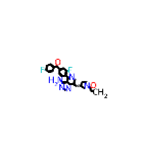 C=CC(=O)N1CC[C@@H](CC2CN=C(c3ccc(C(=O)c4ccc(F)cc4)cc3F)c3c(N)ncnc32)C1